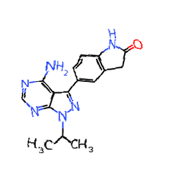 CC(C)n1nc(-c2ccc3c(c2)CC(=O)N3)c2c(N)ncnc21